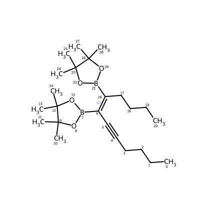 CCCCC#C/C(B1OC(C)(C)C(C)(C)O1)=C(\CCCC)B1OC(C)(C)C(C)(C)O1